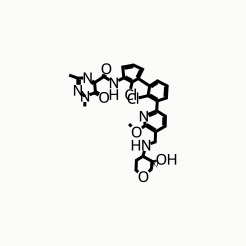 COc1nc(-c2cccc(-c3cccc(NC(=O)c4nc(C)nn(C)c4=O)c3Cl)c2Cl)ccc1CNC1CCOC[C@@H]1O